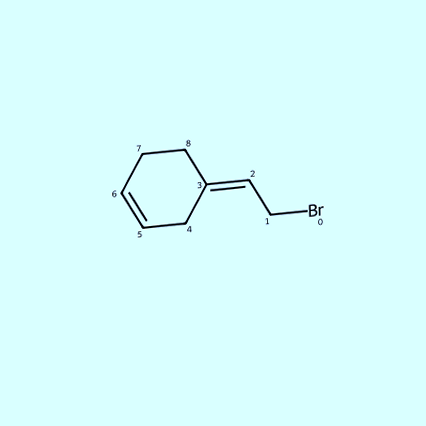 BrCC=C1CC=CCC1